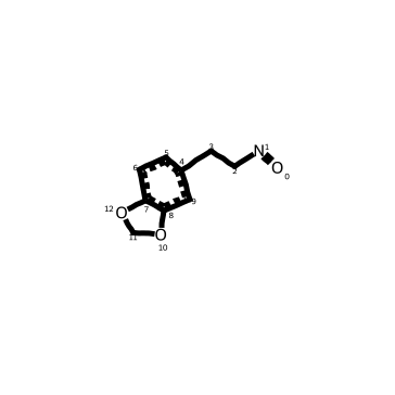 O=NCCc1ccc2c(c1)OCO2